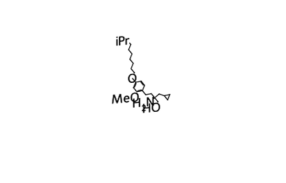 COc1cc(OCCCCCCCC(C)C)ccc1CCC(N)(CO)CC1CC1